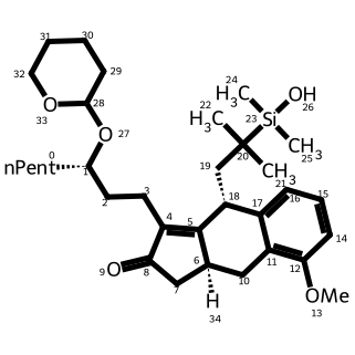 CCCCC[C@@H](CCC1=C2[C@H](CC1=O)Cc1c(OC)cccc1[C@H]2CC(C)(C)[Si](C)(C)O)OC1CCCCO1